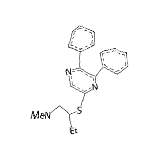 CCC(CNC)Sc1cnc(-c2ccccc2)c(-c2ccccc2)n1